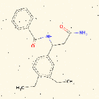 CCc1ccc(C(CC(N)=O)NC(=O)c2ccccc2)cc1CC